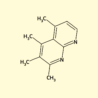 Cc1nc2nccc(C)c2c(C)c1C